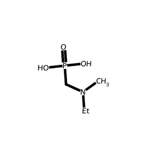 CCN(C)CP(=O)(O)O